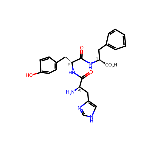 N[C@H](Cc1c[nH]cn1)C(=O)N[C@H](Cc1ccc(O)cc1)C(=O)N[C@@H](Cc1ccccc1)C(=O)O